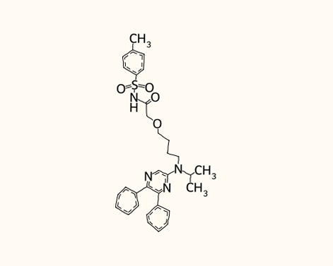 Cc1ccc(S(=O)(=O)NC(=O)COCCCCN(c2cnc(-c3ccccc3)c(-c3ccccc3)n2)C(C)C)cc1